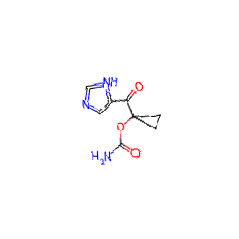 NC(=O)OC1(C(=O)c2cnc[nH]2)CC1